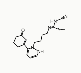 CSC(=NCCCCN1NC=CC=C1C1=CC(=O)CCC1)NC#N